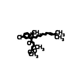 COC(=O)C[C@@H](C)CC(=O)c1c(CCCCCCC#CC(C)C)n(C)c2ccc(Cl)cc12